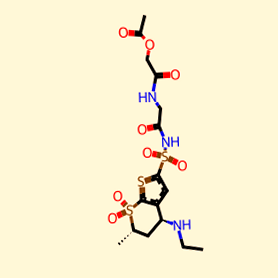 CCN[C@H]1C[C@H](C)S(=O)(=O)c2sc(S(=O)(=O)NC(=O)CNC(=O)COC(C)=O)cc21